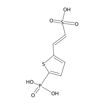 O=P(O)(O)c1ccc(/C=C/S(=O)(=O)O)s1